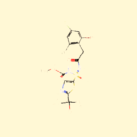 CC(C)c1cc(F)cc(Br)c1CC(=O)N=S(=O)(NC(=O)OC(C)(C)C)c1cnc(C(C)(C)O)s1